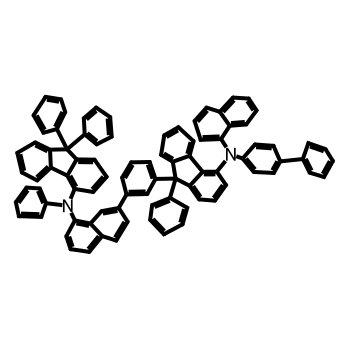 c1ccc(-c2ccc(N(c3cccc4c3-c3ccccc3C4(c3ccccc3)c3cccc(-c4ccc5cccc(N(c6ccccc6)c6cccc7c6-c6ccccc6C7(c6ccccc6)c6ccccc6)c5c4)c3)c3cccc4ccccc34)cc2)cc1